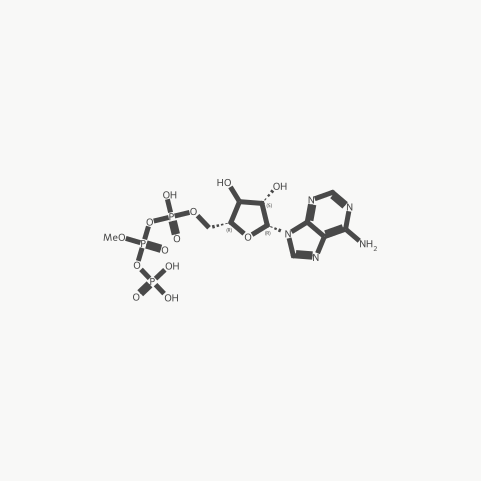 COP(=O)(OP(=O)(O)O)OP(=O)(O)OC[C@H]1O[C@@H](n2cnc3c(N)ncnc32)[C@@H](O)C1O